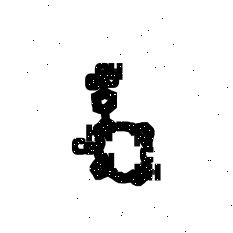 O=S(=O)(O)c1ccc(-c2cc3cc4nc(cc5ccc(cc6nc(cc2[nH]3)C=C6)[nH]5)C=C4)cc1.[Co]